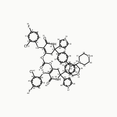 O=C(OC1=C(Sc2ccc(F)cc2Cl)C(=O)NC(c2ccc(N3CCOCC3)cc2)(c2ccsc2)C1)OC1=C(Sc2ccc(F)cc2Cl)C(=O)NC(c2ccc(N3CCOCC3)cc2)(c2ccsc2)C1